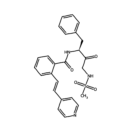 CS(=O)(=O)NCC(=O)[C@H](Cc1ccccc1)NC(=O)c1ccccc1C=Cc1ccncc1